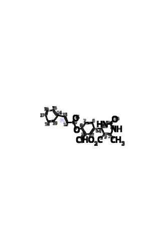 CC1=C(C(=O)O)C(c2ccc(OC(=O)/C=C/c3ccccc3)c(Cl)c2)NC(=O)N1